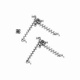 CCCCCCCCCCCCCCCCC(C[N+](C)(CCO)CC(CCCCCCCCCCCCCCCC)C(=O)O)C(=O)O.CCCCCCCCCCCCCCCCC(C[N+](C)(CCO)CC(CCCCCCCCCCCCCCCC)C(=O)O)C(=O)O.O=S(=O)([O-])[O-]